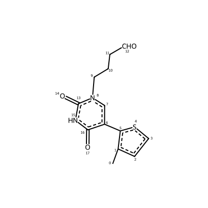 Cc1ccsc1-c1cn(CCCC=O)c(=O)[nH]c1=O